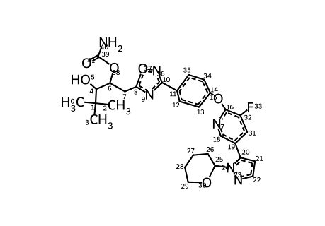 CC(C)(C)C(O)C(Cc1nc(-c2ccc(Oc3ncc(-c4ccnn4C4CCCCO4)cc3F)cc2)no1)OC(N)=O